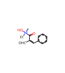 CC[N+](C)(O)C(=O)C([C]=O)=Cc1ccccc1